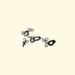 CCC(C)(C)C(=O)OC[C@H]1C=CC2=C[C@@H](COC(=O)Nc3ccccc3)CC[C@@H]2[C@@H]1CC[C@@H]1C[C@@H](O)CC(=O)O1